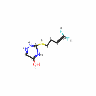 Oc1cnnc(SCCC=C(F)F)n1